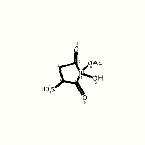 CC(=O)O[N+]1(O)C(=O)CC(S(=O)(=O)O)C1=O